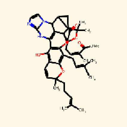 COC(=O)/C(C)=C\CC12OC(C)(C)C3CC(C1=O)C1C4=C(Nc5nccn51)c1c(O)c5c(c(CC=C(C)C)c1OC432)OC(C)(CCC=C(C)C)C=C5